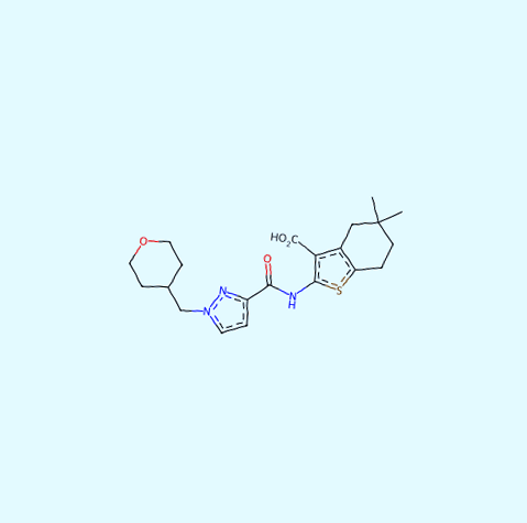 CC1(C)CCc2sc(NC(=O)c3ccn(CC4CCOCC4)n3)c(C(=O)O)c2C1